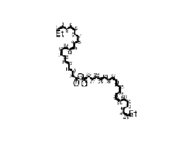 CC/C=C\C/C=C\C/C=C\C/C=C\C/C=C\C/C=C/CCCC(=O)OC(=O)CCC/C=C/C/C=C\C/C=C\C/C=C\C/C=C\C/C=C\CC